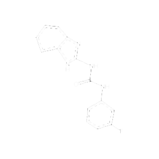 O=C(Nc1cccc(F)c1)Nc1nc2ccccc2[nH]1